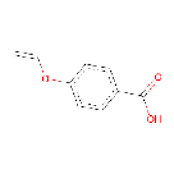 C=COc1ccc(C(=O)O)cc1